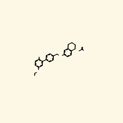 CCOc1ccc(F)c(-c2ccc(COc3ccc4c(c3)CCC[C@@H]4CC(=O)O)cc2)c1